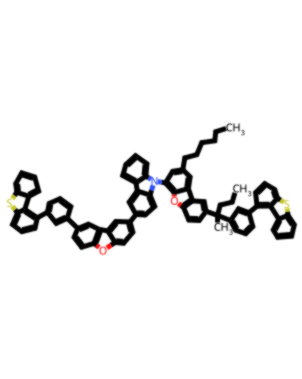 CCCCCCc1cc(-n2c3ccccc3c3cc(-c4ccc5oc6ccc(-c7cccc(-c8cccc9sc%10ccccc%10c89)c7)cc6c5c4)ccc32)c2oc3ccc(C(C)(CCC)c4cccc(-c5cccc6sc7ccccc7c56)c4)cc3c2c1